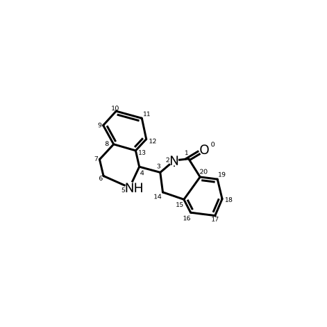 O=C1[N]C(C2NCCc3ccccc32)Cc2ccccc21